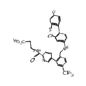 O=C(O)CCNC(=O)c1ccc(-c2cc(C(F)(F)F)ccc2CNc2ccc(-c3ccc(Cl)cc3F)c(Cl)c2)cn1